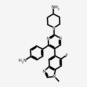 Cn1cnc2cc(-c3cnc(N4CCC(N)CC4)nc3-c3ccc(N)cc3)c(F)cc21